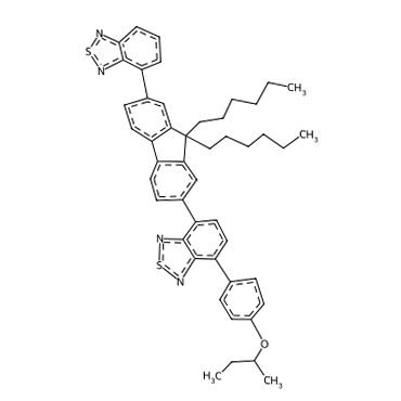 CCCCCCC1(CCCCCC)c2cc(-c3cccc4nsnc34)ccc2-c2ccc(-c3ccc(-c4ccc(OC(C)CC)cc4)c4nsnc34)cc21